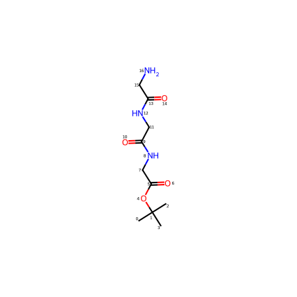 CC(C)(C)OC(=O)CNC(=O)CNC(=O)CN